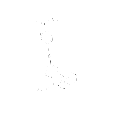 CCCCCCCOc1ccc(C#Cc2ccc(C(=O)OC)cc2)cc1C12CC3CC(CC(C3)C1)C2